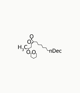 CCCCCCCCCCCCCCCCC1=C(CC(C)OC2CCCCO2)OC1=O